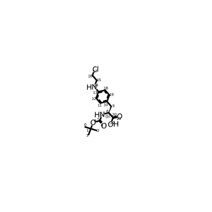 CC(C)(C)OC(=O)N[C@@H](Cc1ccc(NCCCl)cc1)C(=O)O